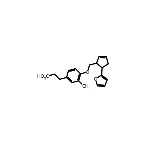 Cc1cc(CCC(=O)O)ccc1OCC1C=CCC1c1ccco1